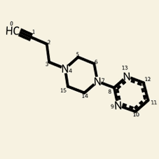 C#CCCN1CCN(c2ncccn2)CC1